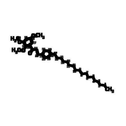 CCCCCCCCCCCCCCCCCCc1ccc(C=CC(=O)c2cc(OC)cc(OC)c2OC)cc1